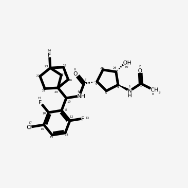 CC(=O)N[C@H]1C[C@H](C(=O)NC(c2c(F)ccc(Cl)c2F)C23CCC(F)(CC2)C3)C[C@@H]1O